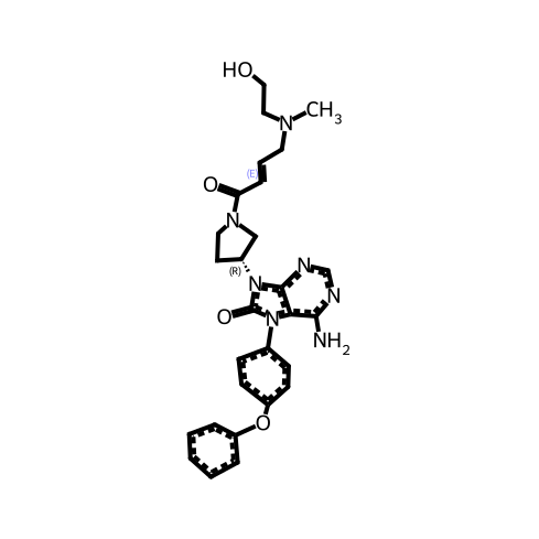 CN(C/C=C/C(=O)N1CC[C@@H](n2c(=O)n(-c3ccc(Oc4ccccc4)cc3)c3c(N)ncnc32)C1)CCO